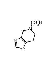 O=C(O)N1CCc2ocnc2C1